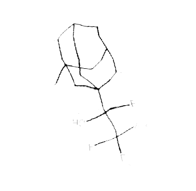 CC12CC3CC(C1)CC(C(O)(F)C(F)(F)F)(C3)C2